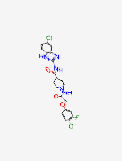 O=C(COc1ccc(Cl)c(F)c1)NN1CCC(C(=O)Nc2nc3cc(Cl)ccc3[nH]2)CC1